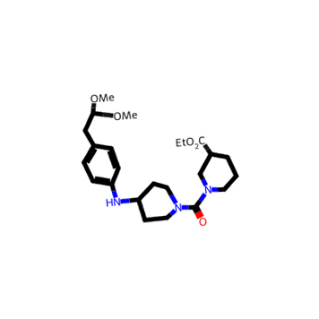 CCOC(=O)C1CCCN(C(=O)N2CCC(Nc3ccc(CC(OC)OC)cc3)CC2)C1